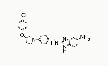 Nc1ccc2[nH]c(NCc3ccc(N4CCC(Oc5ccc(Cl)cc5)C4)cc3)nc2c1